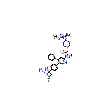 CC(=O)N(C)[C@H]1CC[C@H](CC(=O)Nc2cc(-c3ccccc3)c(-c3ccc(C4(N)CC(F)C4)cc3)cn2)CC1